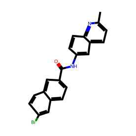 Cc1ccc2cc(NC(=O)c3ccc4cc(Br)ccc4c3)ccc2n1